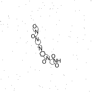 O=C1CCC(N2Cc3cc(N4CC5(CCN(C(=O)CN6CCOCC6)CC5)C4)ccc3C2=O)C(=O)N1